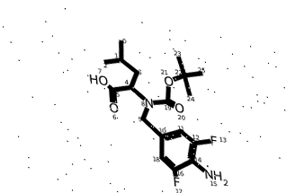 CC(C)CC(C(=O)O)N(Cc1cc(F)c(N)c(F)c1)C(=O)OC(C)(C)C